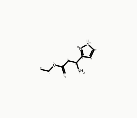 CCOC(=O)CC(N)c1cc[nH]n1